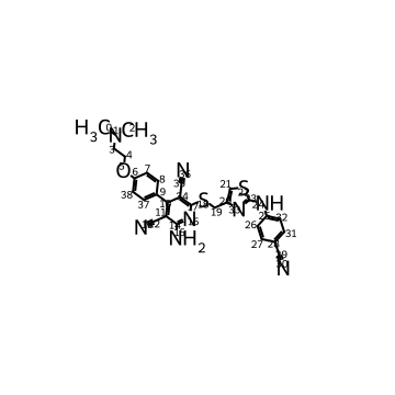 CN(C)CCOc1ccc(-c2c(C#N)c(N)nc(SCc3csc(Nc4ccc(C#N)cc4)n3)c2C#N)cc1